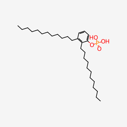 CCCCCCCCCCCCc1cccc(OP(=O)(O)O)c1CCCCCCCCCCCC